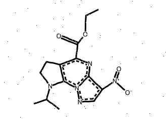 CCOC(=O)c1nc2c([N+](=O)[O-])cnn2c2c1CCN2C(C)C